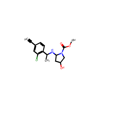 C#Cc1ccc(C(C)NC2CC(O)CN2C(=O)OC(C)(C)C)c(Cl)c1